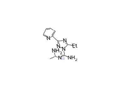 CCc1nc(-c2ccccn2)nn1/C(N)=N\C(C)N